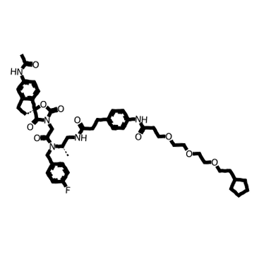 CC(=O)Nc1ccc2c(c1)CC[C@@]21OC(=O)N(CC(=O)N(Cc2ccc(F)cc2)[C@@H](C)CNC(=O)CCc2ccc(NC(=O)CCOCCOCCOCCC3CCCC3)cc2)C1=O